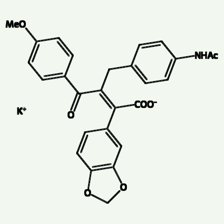 COc1ccc(C(=O)/C(Cc2ccc(NC(C)=O)cc2)=C(/C(=O)[O-])c2ccc3c(c2)OCO3)cc1.[K+]